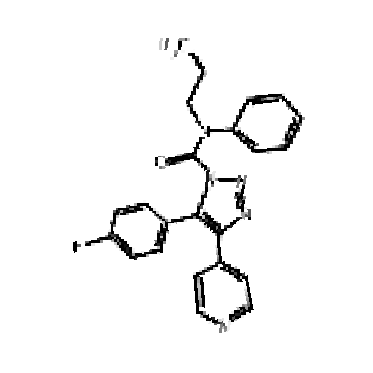 CCCN(C(=O)n1nnc(-c2ccncc2)c1-c1ccc(F)cc1)c1ccccc1